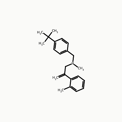 C=C(CN(C)Cc1ccc(C(C)(C)C)cc1)c1ccccc1C